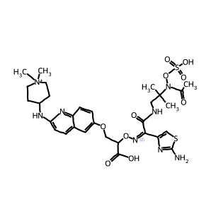 CC(=O)N(OS(=O)(=O)O)C(C)(C)CNC(=O)/C(=N\OC(COc1ccc2nc(NC3CC[N+](C)(C)CC3)ccc2c1)C(=O)O)c1csc(N)n1